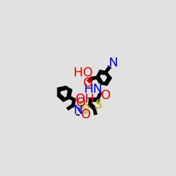 Cc1sc(C(=O)Nc2ccc(C#N)cc2C(=O)O)cc1S(=O)(=O)N(C)C(C)C(O)c1ccccc1